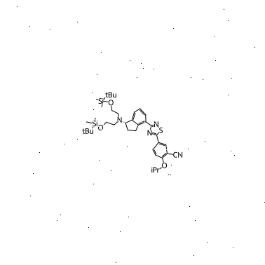 CC(C)Oc1ccc(-c2nc(-c3cccc4c3CC[C@@H]4N(CCO[Si](C)(C)C(C)(C)C)CCO[Si](C)(C)C(C)(C)C)ns2)cc1C#N